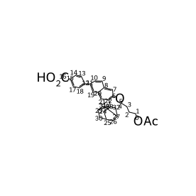 CC(=O)OCCCCOc1cc2ccc(-c3ccc(C(=O)O)cc3)cc2cc1C12CC3CC(CC(C3)C1)C2